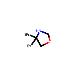 CC(C)C1(C(C)C)COCN1